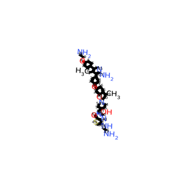 CCc1c(-c2ccc(OCCN)cc2)cnc(N)c1-c1ccc(Oc2ccc([C@H](C)CC(=O)N3CCC(O)(Cn4cnc5c(NCCN)csc5c4=O)CC3)cc2)cc1